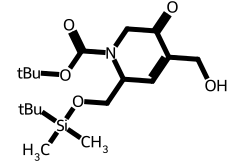 CC(C)(C)OC(=O)N1CC(=O)C(CO)=CC1CO[Si](C)(C)C(C)(C)C